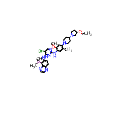 CCO[C@H]1CCN(C2CCN(c3cc(OC)c(Nc4ncc(Br)c(Nc5ccc6nccnc6c5P(C)C)n4)cc3C)CC2)C1